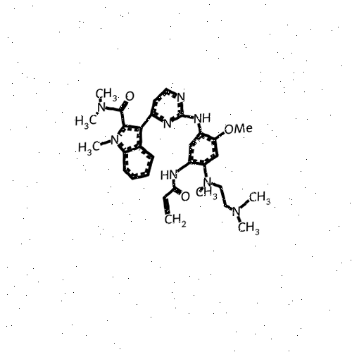 C=CC(=O)Nc1cc(Nc2nccc(-c3c(C(=O)N(C)C)n(C)c4ccccc34)n2)c(OC)cc1N(C)CCN(C)C